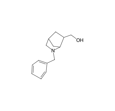 OCC1CC2CC1N(Cc1ccccc1)C2